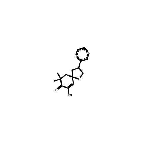 CC1(C)CC2(C=C(C#N)C1=O)CC(c1cnccn1)CO2